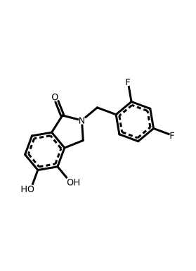 O=C1c2ccc(O)c(O)c2CN1Cc1ccc(F)cc1F